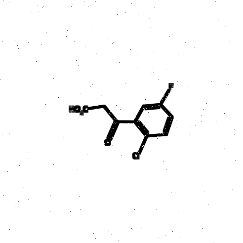 O=C(O)CC(=O)c1cc(F)ccc1Cl